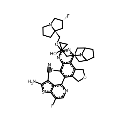 N#Cc1c(N)sc2c(F)cnc(-c3c4c(c5c(N6C7CCC6CN(CC6(O)CC6)C7)nc(OC[C@@]67CCCN6C[C@H](F)C7)nc5c3F)COC4)c12